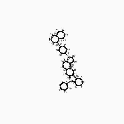 c1ccc(-n2c3ccccc3c3cc4c(ccc5c4ccn5-c4ccc(-c5cncc6ccccc56)cc4)cc32)cc1